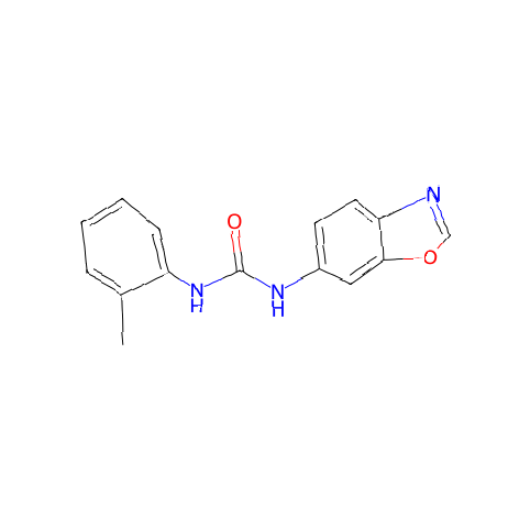 Cc1ccccc1NC(=O)Nc1ccc2ncoc2c1